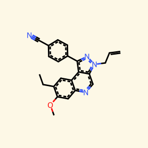 C=CCn1nc(-c2ccc(C#N)cc2)c2c3cc(CC)c(OC)cc3ncc21